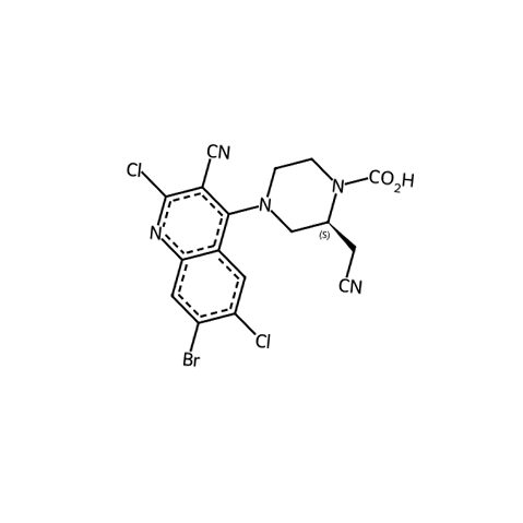 N#CC[C@H]1CN(c2c(C#N)c(Cl)nc3cc(Br)c(Cl)cc23)CCN1C(=O)O